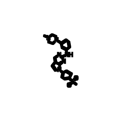 CN1CCN(c2cccc(Nc3ncc4ccn(-c5ccc(S(C)(=O)=O)cc5)c4n3)c2)CC1